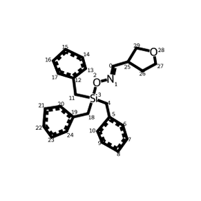 C(=NO[Si](Cc1ccccc1)(Cc1ccccc1)Cc1ccccc1)C1CCOC1